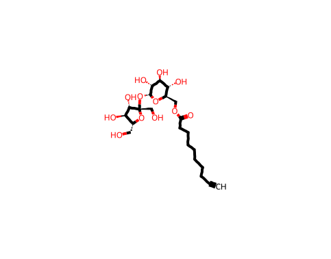 C#CCCCCCCCC(=O)OC[C@H]1O[C@H](O[C@]2(CO)O[C@H](CO)[C@@H](O)[C@@H]2O)[C@H](O)[C@@H](O)[C@@H]1O